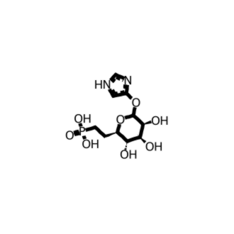 O=P(O)(O)CC[C@H]1OC(Oc2c[nH]cn2)[C@@H](O)[C@@H](O)[C@@H]1O